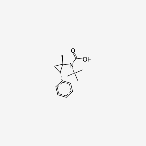 CC(C)(C)N(C(=O)O)[C@@]1(C)C[C@H]1c1ccccc1